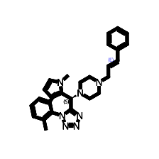 Cc1cccc(C)c1-n1nnnc1[C@H](c1cccn1C)N1CCN(C/C=C/c2ccccc2)CC1